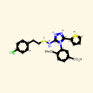 COc1ccc(C(=O)O)cc1-n1c(NSCCc2ccc(Cl)cc2)nnc1-c1cccs1